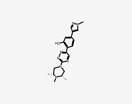 C[C@@H]1CN(c2ncc(-c3ccc(-c4cnn(C)c4)cc3O)nn2)C[C@H](C)N1C